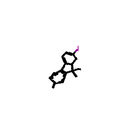 Cc1ccc2c(c1)C(C)(C)C1CC(I)=CC=C21